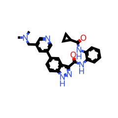 CN(C)Cc1cncc(-c2ccc3[nH]nc(C(=O)Nc4ccccc4NC(=O)C4CC4)c3c2)c1